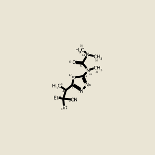 CCC(C#N)(CC)C(C)c1nnc(N(C)C(=O)N(C)C)s1